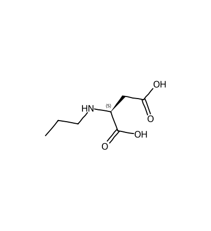 CCCN[C@@H](CC(=O)O)C(=O)O